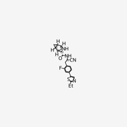 CCc1ncc(-c2ccc(C[C@@H](C#N)NC(=O)[C@H]3N[C@H]4C[C@H]3[C@@H]3C[C@@H]34)c(F)c2)s1